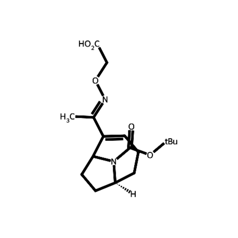 C/C(=N\OCC(=O)O)C1=CCC[C@H]2CCC1N2C(=O)OC(C)(C)C